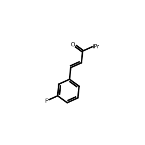 CC(C)C(=O)/C=C/c1cccc(F)c1